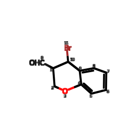 O=CC1COc2ccccc2C1Br